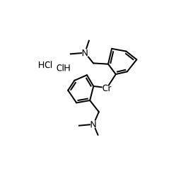 CN(C)Cc1cccc[c]1[Cr][c]1ccccc1CN(C)C.Cl.Cl